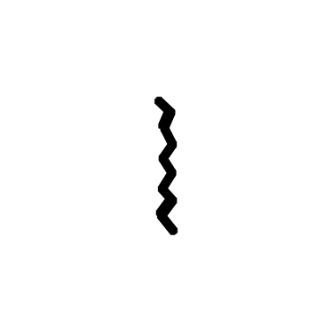 CC=CCCCCC=CC